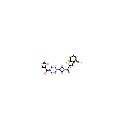 O=C(c1cscn1)N1CCN(C2CN(C(=O)c3cc4c(C(F)(F)F)cccc4s3)C2)CC1